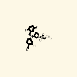 CCS(=O)(=O)N1CC[C@H](N(Cc2cc(F)ccc2F)c2ccc(C#N)c(Cl)c2)C1